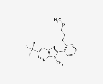 COCCSc1cnccc1-c1nc2cc(C(F)(F)F)cnc2n1C